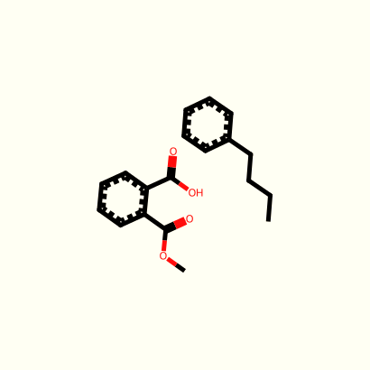 CCCCc1ccccc1.COC(=O)c1ccccc1C(=O)O